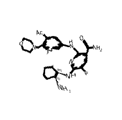 CC(=O)c1cc(Nc2nc(N[C@@H]3CCCC[C@@H]3N)c(F)cc2C(N)=O)cnc1N1CCOCC1